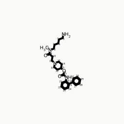 CN(CCCCCN)C(=O)CCN1CCC(OC(=O)Nc2ccccc2-c2ccccc2)CC1